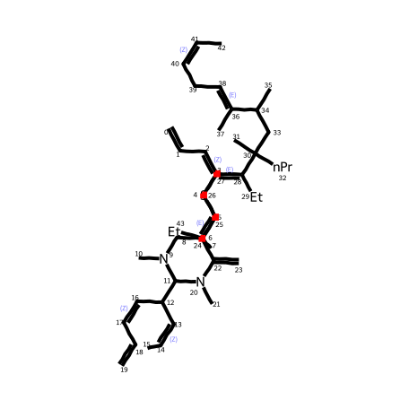 C=C/C=C\SCC(C)CN(C)C(C(/C=C\C)/C=C\C=C)N(C)C(=C)/C(=C/C/C=C(\CC)C(C)(CCC)CC(C)/C(C)=C/C/C=C\C)CC